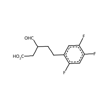 O=CC(CCc1cc(F)c(F)cc1F)CC(=O)O